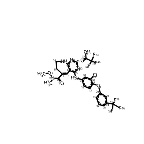 CON(C)C(=O)C1=Cc2c(ncnc2Nc2ccc(Oc3cccc(C(F)(F)F)c3)c(Cl)c2)NCC1.O=C(O)C(F)(F)F